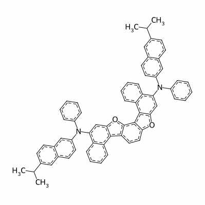 CC(C)c1ccc2cc(N(c3ccccc3)c3cc4oc5c(ccc6oc7cc(N(c8ccccc8)c8ccc9cc(C(C)C)ccc9c8)c8ccccc8c7c65)c4c4ccccc34)ccc2c1